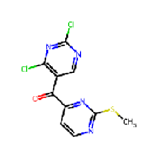 CSc1nccc(C(=O)c2cnc(Cl)nc2Cl)n1